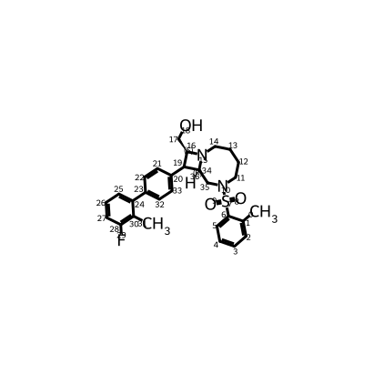 Cc1ccccc1S(=O)(=O)N1CCCCN2[C@H](CO)C(c3ccc(-c4cccc(F)c4C)cc3)[C@@H]2C1